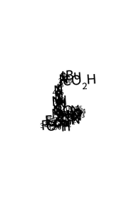 CC(C)(C)N(CCCN1CC(n2nnc(Cn3cc(NC(=O)c4cnn5cccnc45)c(-c4cc(OC(F)F)ccc4OC(F)F)n3)n2)C1)C(=O)O